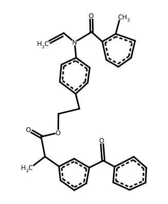 C=CN(C(=O)c1ccccc1C)c1ccc(CCOC(=O)C(C)c2cccc(C(=O)c3ccccc3)c2)cc1